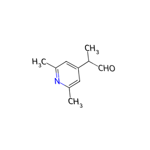 Cc1cc(C(C)C=O)cc(C)n1